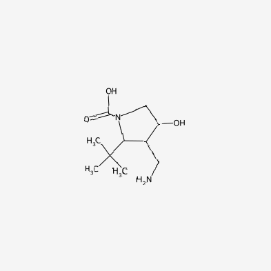 CC(C)(C)C1C(CN)C(O)CN1C(=O)O